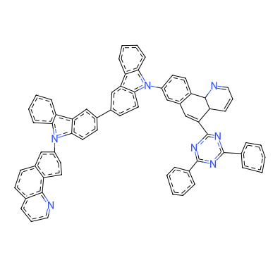 C1=CC2C(c3nc(-c4ccccc4)nc(-c4ccccc4)n3)=Cc3cc(-n4c5ccccc5c5cc(-c6ccc7c(c6)c6ccccc6n7-c6ccc7c(ccc8cccnc87)c6)ccc54)ccc3C2N=C1